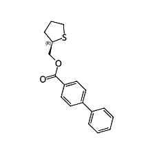 O=C(OC[C@H]1CCCS1)c1ccc(-c2ccccc2)cc1